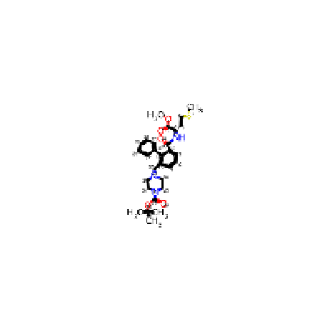 COC(=O)[C@H](CCSC)NC(=O)c1cccc(CN2CCN(C(=O)OC(C)(C)C)CC2)c1-c1ccccc1